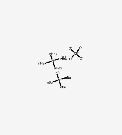 CCCCCC[N+](CCCCCC)(CCCCCC)CCCCCC.CCCC[N+](CCCC)(CCCC)CCCC.[O-][Cl+3]([O-])([O-])[O-].[OH-]